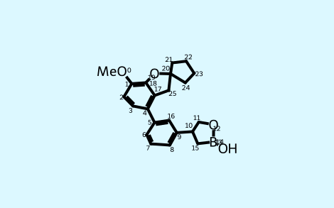 COc1ccc(-c2cccc(C3COB(O)C3)c2)c2c1OC1(CCCC1)C2